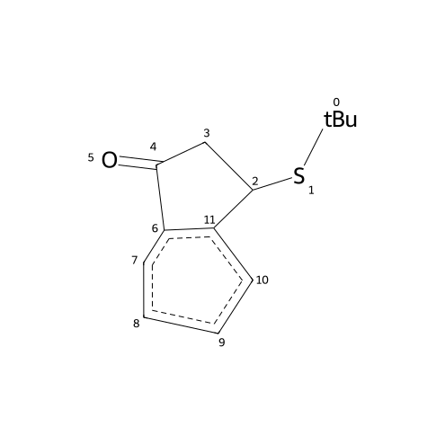 CC(C)(C)SC1CC(=O)c2ccccc21